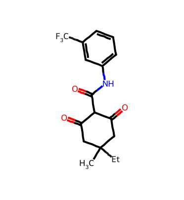 CCC1(C)CC(=O)C(C(=O)Nc2cccc(C(F)(F)F)c2)C(=O)C1